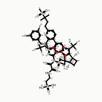 CC(C)(CCc1ccc(-c2ccc(Cl)c3c(N(C(=O)C(=O)NCCP(=O)(O)O)S(C)(=O)=O)nn(CC(F)(F)F)c23)c([C@H](Cc2cc(F)cc(F)c2)NC(=O)Cn2nc(C(F)(F)F)c3c2C(F)(F)[C@@H]2CC[C@H]32)n1)S(C)(=O)=O